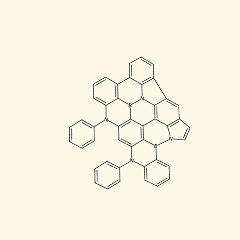 c1ccc(N2c3ccccc3B3c4c2cc2c5c4-c4c6c(ccn63)cc3c6cccc7c6n(c43)B5c3c-7cccc3N2c2ccccc2)cc1